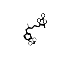 Cc1oc(=O)oc1CCC[C@H](C)Cc1ccc2c(c1)OCO2